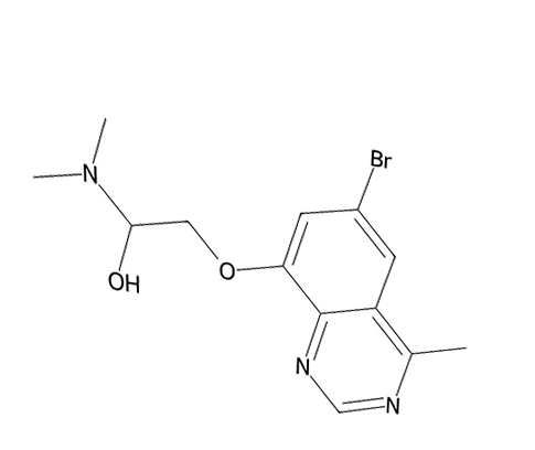 Cc1ncnc2c(OCC(O)N(C)C)cc(Br)cc12